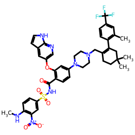 CNc1ccc(S(=O)(=O)NC(=O)c2ccc(N3CCN(CC4=C(c5ccc(C(F)(F)F)cc5C)CC(C)(C)CC4)CC3)cc2Oc2cnc3[nH]ccc3c2)cc1[N+](=O)[O-]